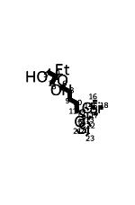 CCC(CO)(CO)OCCCCC[Si](C)(O[Si](C)(C)C)O[Si](C)(C)C